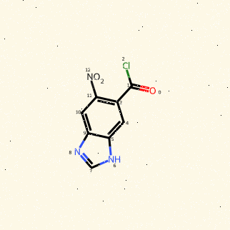 O=C(Cl)c1cc2[nH]cnc2cc1[N+](=O)[O-]